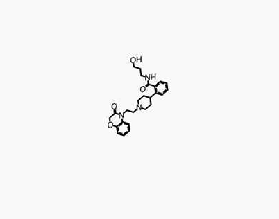 O=C(NCCCO)c1ccccc1C1CCN(CCN2C(=O)COc3ccccc32)CC1